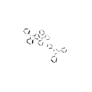 Cc1c(-c2ccccc2)nc(-c2ccccc2)nc1-c1ccc(N2c3ccccc3C(c3ccccc3)(c3ccc4c(c3)c3ccccc3n4-c3ccccc3)c3ccccc32)cc1